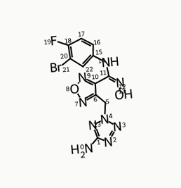 Nc1nnn(Cc2nonc2/C(=N\O)Nc2ccc(F)c(Br)c2)n1